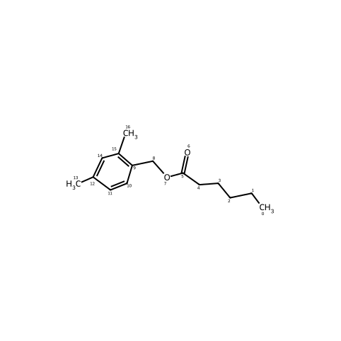 CCCCCC(=O)OCc1ccc(C)cc1C